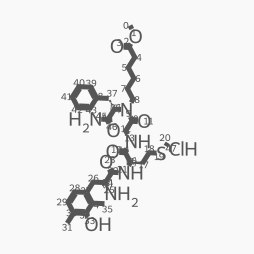 COC(=O)CCCCCN(C(=O)CNC(=O)[C@@H](CCSC)NC(=O)[C@@H](N)Cc1ccc(C)c(O)c1C)[C@@H](Cc1ccccc1)C(N)=O.Cl